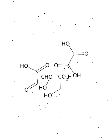 O=C(O)C(=O)O.O=C(O)CO.O=CC(=O)O.O=CO